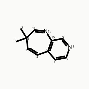 CC1(C)C=Cc2ccncc2N=C1